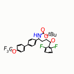 CC(C)(C)OC(=O)NC(CCC(=O)c1c(F)cccc1F)c1ccc(-c2ccc(OC(F)(F)F)cc2)cc1